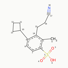 Cc1c(S(=O)(=O)O)ccc(C2CCC2)c1CCC#N